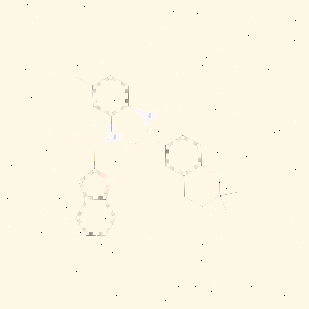 CC1(C)CCc2cc([S+]([O-])Nc3ccc(Cl)cc3N[S+]([O-])c3cc4ccccc4o3)ccc2O1